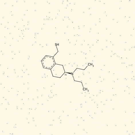 CCCN(CCC)[C@H]1CCc2cccc(CS)c2C1